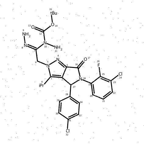 CC(C)c1c2c(nn1C/C(=N/N)N(N)C(=O)OC(C)(C)C)C(=O)N(c1cccc(Cl)c1F)C2c1ccc(Cl)cc1